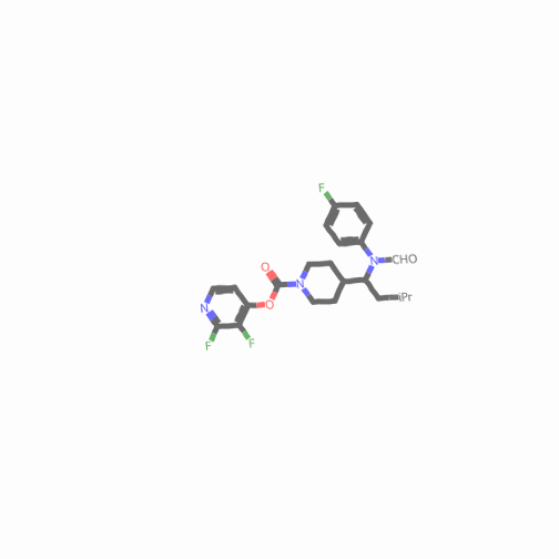 CC(C)CC(C1CCN(C(=O)Oc2ccnc(F)c2F)CC1)N(C=O)c1ccc(F)cc1